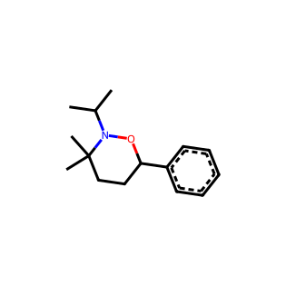 CC(C)N1OC(c2ccccc2)CCC1(C)C